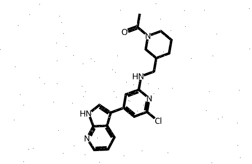 CC(=O)N1CCCC(CNc2cc(-c3c[nH]c4ncccc34)cc(Cl)n2)C1